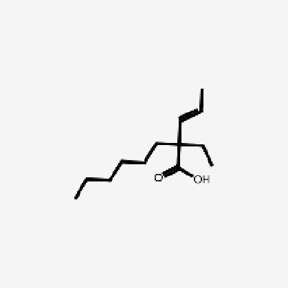 CC=CC(CC)(CCCCCC)C(=O)O